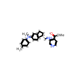 COC(=O)c1ccncc1NC[C@H]1CCc2cc(N(C)c3ccc(C)cc3)ccc21